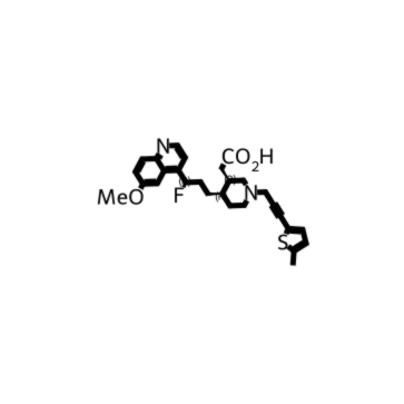 COc1ccc2nccc([C@H](F)CC[C@@H]3CCN(CC#Cc4ccc(C)s4)C[C@@H]3CC(=O)O)c2c1